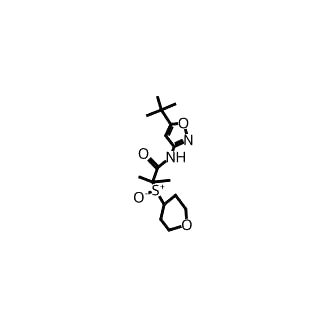 CC(C)(C)c1cc(NC(=O)C(C)(C)[S+]([O-])C2CCOCC2)no1